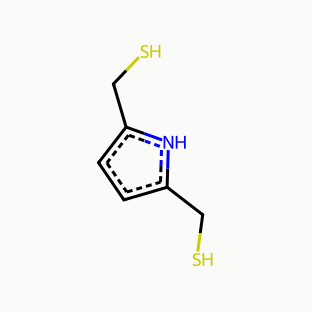 SCc1ccc(CS)[nH]1